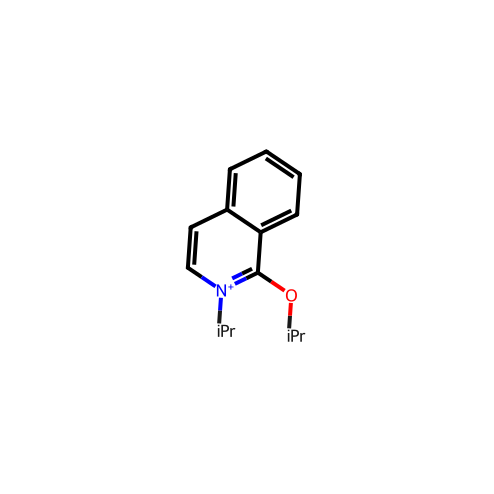 CC(C)Oc1c2ccccc2cc[n+]1C(C)C